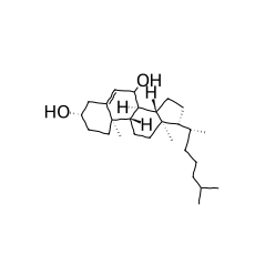 CC(C)CCC[C@@H](C)[C@H]1CC[C@H]2[C@@H]3C(O)C=C4C[C@@H](O)CC[C@]4(C)[C@H]3CC[C@]12C